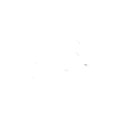 CC[C@H]1C[C@@H](Oc2ccc(C(F)(F)F)cc2OC=C(C)C)CCN1c1ccc(C(F)(F)F)cn1